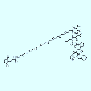 CC[C@H](C)[C@@H]([C@@H](CC(=O)N1CCC[C@H]1[C@H](OC)[C@@H](C)C(=O)N[C@@H](Cc1ccccc1)c1nccs1)OC)N(C)C(=O)[C@@H](NC(=O)[C@H](C(C)C)N(C)C(=O)CCOCCOCCOCCOCCOCCOCCOCCOCCNC(=O)CCN1C(=O)C=CC1=O)C(C)C